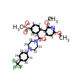 COc1ccc(-c2ccc(S(C)(=O)=O)cc2C(=O)N2CCN(c3ccc(C(F)(F)F)cc3)CC2)c(OC)n1